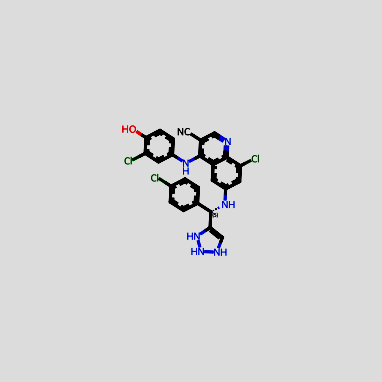 N#Cc1cnc2c(Cl)cc(N[C@H](C3=CNNN3)c3ccc(Cl)cc3)cc2c1Nc1ccc(O)c(Cl)c1